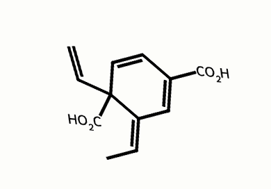 C=CC1(C(=O)O)C=CC(C(=O)O)=CC1=CC